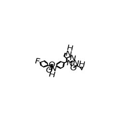 O=C(Nc1nc(-c2ccc(NS(=O)(=O)c3ccc(F)cc3)cc2)c2cc[nH]c2n1)C1CC1